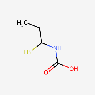 CCC(S)NC(=O)O